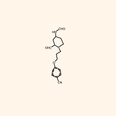 N#Cc1ccc(OCCCN2CCC(NC=O)CC2C=O)cc1